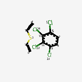 C=CSC=C.Clc1ccc(Cl)c(Cl)c1Cl